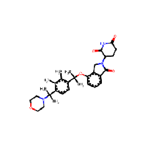 Bc1c(C(B)(B)Oc2cccc3c2CN(C2CCC(=O)NC2=O)C3=O)ccc(C(B)(B)N2CCOCC2)c1B